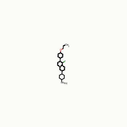 C=CCOc1ccc(-c2ccc3cc(C4CCC(CCCCC)CC4)ccc3c2F)cc1